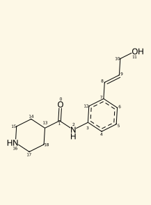 O=C(Nc1cccc(/C=C/CO)c1)C1CCNCC1